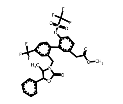 COC(=O)Cc1ccc(OS(=O)(=O)C(F)(F)F)c(-c2ccc(C(F)(F)F)cc2CN2C(=O)OC(c3ccccc3)C2C)c1